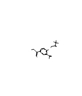 C/C=C(/CC)c1ccc(OCC(=O)C(C)(C)C)c(C(C)=O)c1